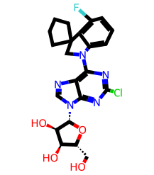 OC[C@H]1O[C@@H](n2cnc3c(N4CC5(CCCC5)c5c(F)cccc54)nc(Cl)nc32)[C@H](O)[C@@H]1O